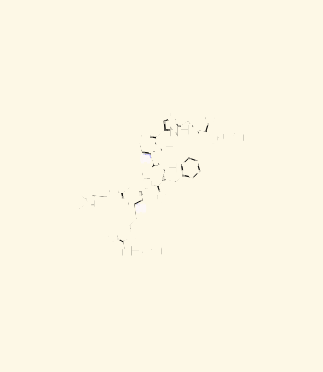 C/C=C(\NC(=O)c1csc(CNC(=O)OC(C)(C)C)n1)C(=O)N[C@@H](Cc1ccccc1)C(=O)O[C@H](/C=C/CCSC(=O)CCCCCCC)CC(=O)OCC[Si](C)(C)C